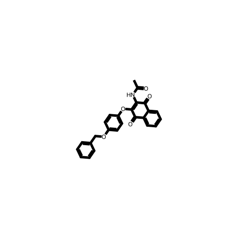 CC(=O)NC1=C(Oc2ccc(OCc3ccccc3)cc2)C(=O)c2ccccc2C1=O